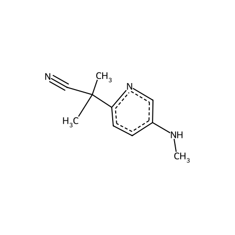 CNc1ccc(C(C)(C)C#N)nc1